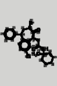 CCc1ccc2c(c1)N(CC(=O)NC1(C)CCCCC1)C(=O)C(Br)CC2c1ccccc1